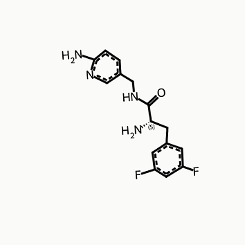 Nc1ccc(CNC(=O)[C@@H](N)Cc2cc(F)cc(F)c2)cn1